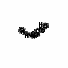 O=C(Nc1ccc(-c2nnc(NCCCCN3CCCCC3)o2)c(F)c1)c1ccccc1